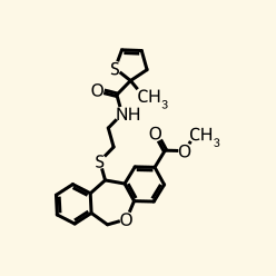 COC(=O)c1ccc2c(c1)C(SCCNC(=O)C1(C)CC=CS1)c1ccccc1CO2